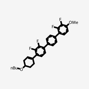 CCCCOC1CC=C(c2ccc(-c3ccc(-c4ccc(OC)c(F)c4F)cc3)c(F)c2F)CC1